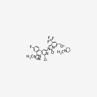 CN1CCC[C@H]1COCc1cc(C(F)(F)F)c2cn(-c3cc(-c4ccc(F)cc4-c4nncn4C)cc(C4CC4)n3)c(=O)n2c1